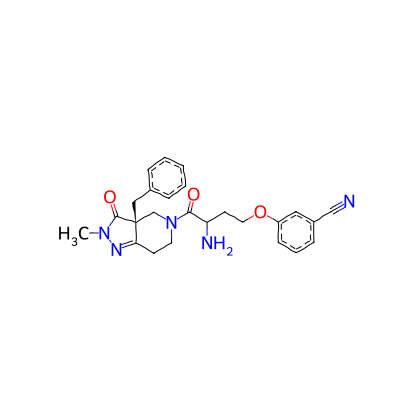 CN1N=C2CCN(C(=O)C(N)CCOc3cccc(C#N)c3)C[C@@]2(Cc2ccccc2)C1=O